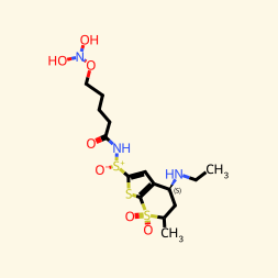 CCN[C@H]1CC(C)S(=O)(=O)c2sc([S+]([O-])NC(=O)CCCCON(O)O)cc21